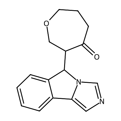 O=C1CCCOCC1C1c2ccccc2-c2cncn21